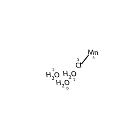 O.O.O.[Cl][Mn]